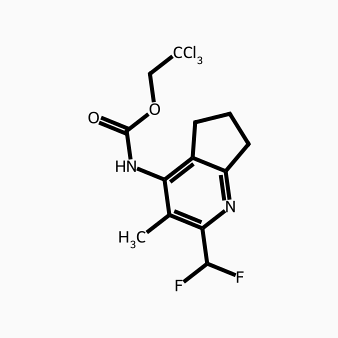 Cc1c(C(F)F)nc2c(c1NC(=O)OCC(Cl)(Cl)Cl)CCC2